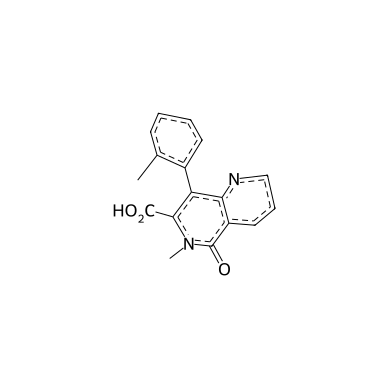 Cc1ccccc1-c1c(C(=O)O)n(C)c(=O)c2cccnc12